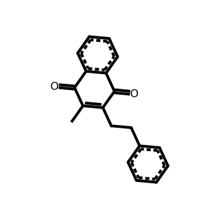 CC1=C(CCc2ccccc2)C(=O)c2ccccc2C1=O